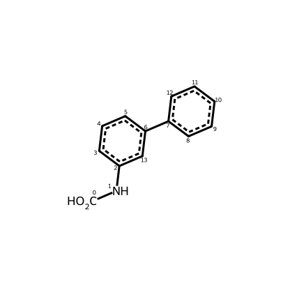 O=C(O)Nc1cccc(-c2ccccc2)c1